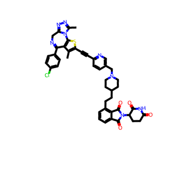 Cc1c(C#Cc2ccc(CN3CCC(CCc4cccc5c4C(=O)N(C4CCC(=O)NC4=O)C5=O)CC3)cn2)sc2c1C(c1ccc(Cl)cc1)=NCc1nnc(C)n1-2